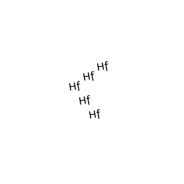 [Hf].[Hf].[Hf].[Hf].[Hf]